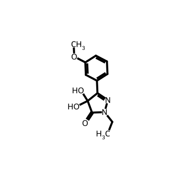 CCN1N=C(c2cccc(OC)c2)C(O)(O)C1=O